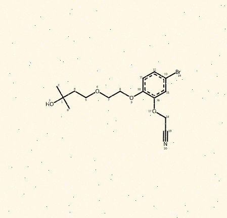 CC(C)(O)CCOCCOc1ccc(Br)cc1OCC#N